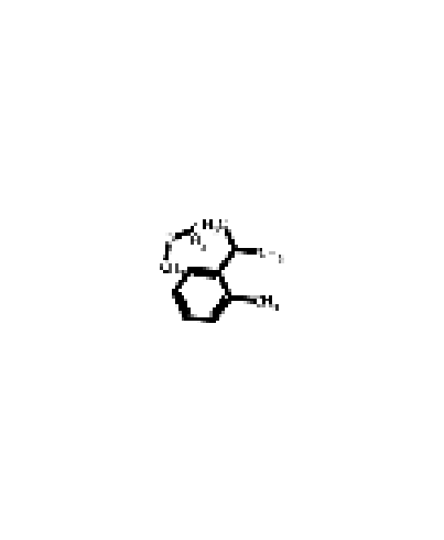 COC.Cc1ccccc1C(C)C